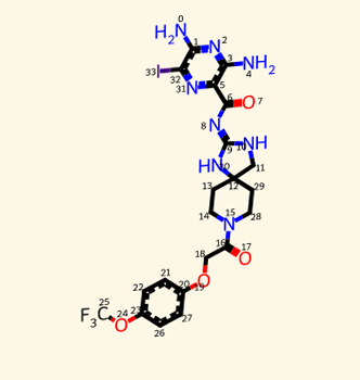 Nc1nc(N)c(C(=O)/N=C2\NCC3(CCN(C(=O)COc4ccc(OC(F)(F)F)cc4)CC3)N2)nc1I